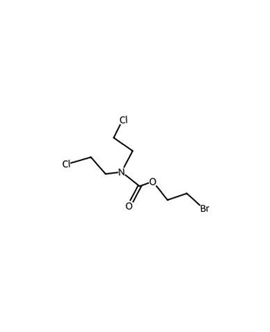 O=C(OCCBr)N(CCCl)CCCl